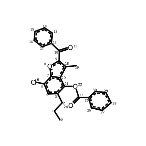 CCCc1cc(Cl)c2oc(C(=O)c3ccccc3)c(C)c2c1OC(=O)c1ccccc1